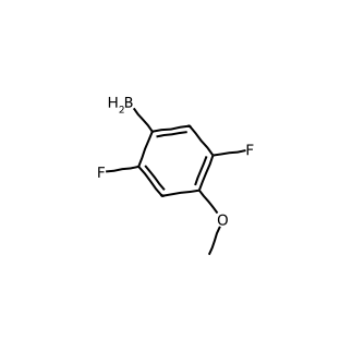 Bc1cc(F)c(OC)cc1F